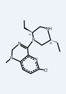 CC[C@@H]1CN(C2=NCN(C)c3ccc(Cl)nc32)[C@@H](CC)CN1